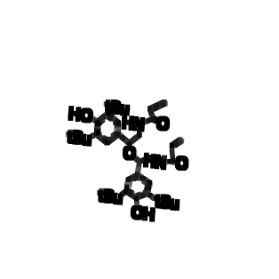 C=CC(=O)NCC(OC(CNC(=O)C=C)c1cc(C(C)(C)C)c(O)c(C(C)(C)C)c1)c1cc(C(C)(C)C)c(O)c(C(C)(C)C)c1